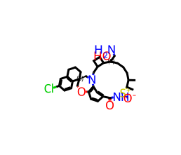 CC1CCC[C@@](O)(CN)C2CCC2CN2C[C@@]3(CCCc4cc(Cl)ccc43)COc3ccc(cc32)C(=O)N[S+]([O-])C1C